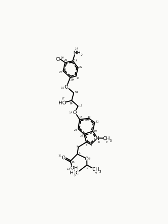 CC(C)OC(Cc1cn(C)c2ccc(OCC(O)COc3ccc(N)c(Cl)c3)cc12)C(=O)O